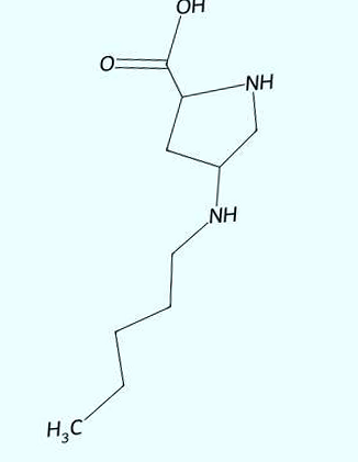 CCCCCNC1CNC(C(=O)O)C1